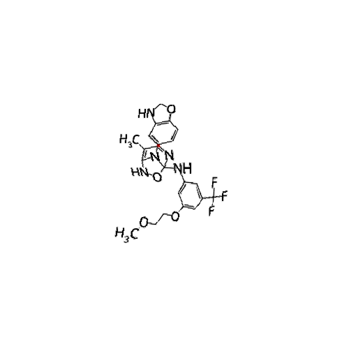 COCCOc1cc(NC23N=CC(C)=C(NO2)N3c2ccc3c(c2)NCO3)cc(C(F)(F)F)c1